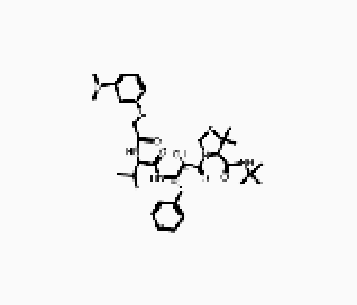 CC(C)C(NC(=O)COc1cccc(N(C)C)c1)C(=O)N[C@@H](Cc1ccccc1)[C@H](O)C(=O)N1CSC(C)(C)C1C(=O)NC(C)(C)C